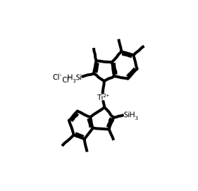 CC1=C([SiH3])[CH]([Ti+2][CH]2C([SiH3])=C(C)c3c2ccc(C)c3C)c2ccc(C)c(C)c21.[Cl-].[Cl-]